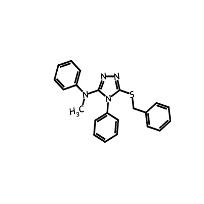 CN(c1ccccc1)c1nnc(SCc2ccccc2)n1-c1ccccc1